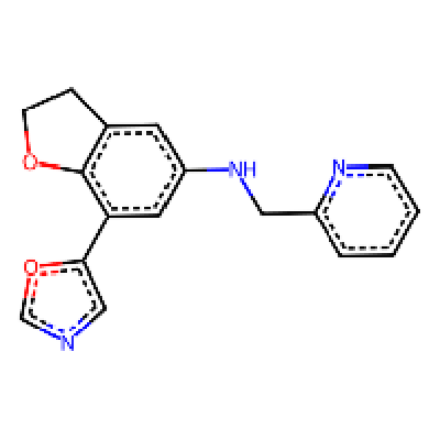 c1ccc(CNc2cc3c(c(-c4cnco4)c2)OCC3)nc1